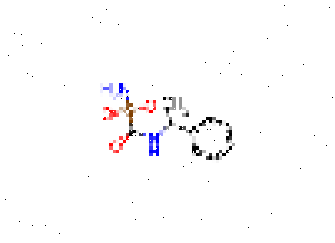 [CH2]C(NC(=O)S(N)(=O)=O)c1ccccc1